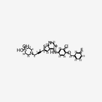 OS1(O)CCN(CC#Cc2cc3c(Nc4ccc(OCc5cccc(F)c5)c(Cl)c4)ncnc3s2)CC1